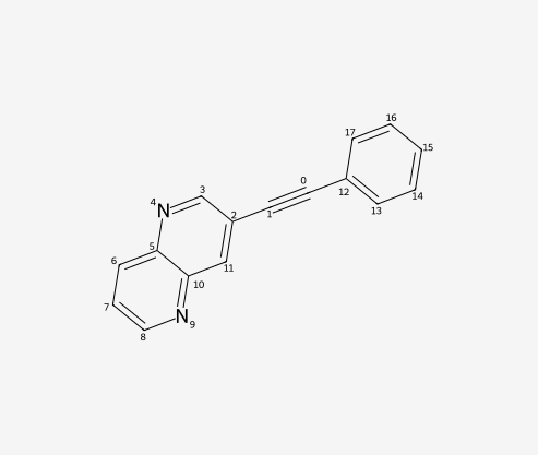 C(#Cc1cnc2cccnc2c1)c1ccccc1